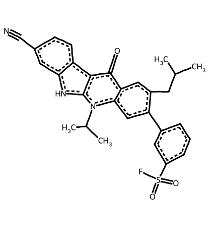 CC(C)Cc1cc2c(=O)c3c4ccc(C#N)cc4[nH]c3n(C(C)C)c2cc1-c1cccc(S(=O)(=O)F)c1